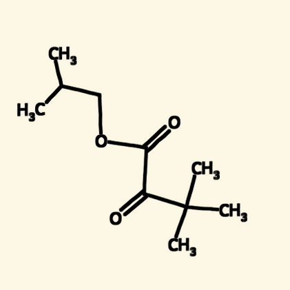 CC(C)COC(=O)C(=O)C(C)(C)C